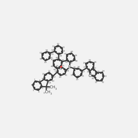 CC1(C)c2ccccc2-c2ccc(-c3ccc(N(c4cccc(-c5cccc6c5oc5ccccc56)c4)c4ccccc4-c4ccccc4-c4ccccc4-c4ccccc4)cc3)cc21